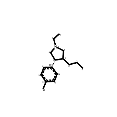 CCCC1CN(CC)C[C@H]1c1ccc(C)cc1